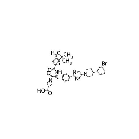 CC(C)(C)c1ccc(C(=O)N[C@@H](Cc2ccc(-c3ncc(N4CCC(c5cccc(Br)c5)CC4)cn3)cc2)C(=O)N2CC(C(=O)O)C2)s1